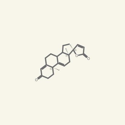 C[C@]12CCC(=O)C=C1CCC1C2=CC[C@@]2(C)C1CC[C@@]21C=CC(=O)O1